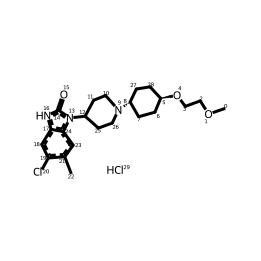 COCCO[C@H]1CC[C@H](N2CCC(n3c(=O)[nH]c4cc(Cl)c(C)cc43)CC2)CC1.Cl